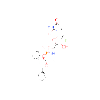 C[C@H](NP(=O)(OC[C@H]1O[C@@H](n2ccc(=O)[nH]c2=O)[C@](C)(F)[C@@H]1O)Oc1ccccc1Cl)C(=O)OCc1ccccc1